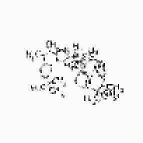 CC(c1ccc(C(C)(C)C)cc1)C(C)c1ccc(C(C)(C)CC2(C)c3ccc(nc3)C(C)(C)C(C)(C)c3cnc(nc3)C2(C)C)nc1